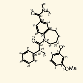 COc1cccc(O[C@H]2CCc3cc(C(=O)N(C)C)ccc3N(C(=O)[C@@H](C)c3ccccc3)C2)c1